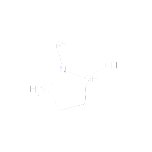 CC(C)N1[SiH2]CC[SiH]1C